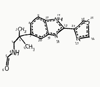 CC(C)(CNC=O)c1ccc2[nH]c(-c3cscn3)nc2c1